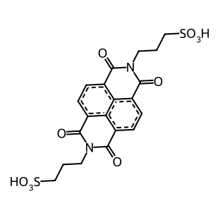 O=C1c2ccc3c4c(ccc(c24)C(=O)N1CCCS(=O)(=O)O)C(=O)N(CCCS(=O)(=O)O)C3=O